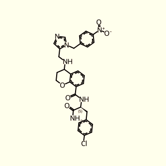 NC(=O)[C@H](Cc1ccc(Cl)cc1)NC(=O)c1cccc2c1OCCC2NCc1cncn1Cc1ccc([N+](=O)[O-])cc1